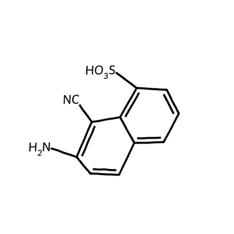 N#Cc1c(N)ccc2cccc(S(=O)(=O)O)c12